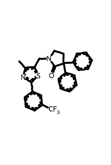 Cc1nc(-c2cccc(C(F)(F)F)c2)sc1CN1CCC(c2ccccc2)(c2ccccc2)C1=O